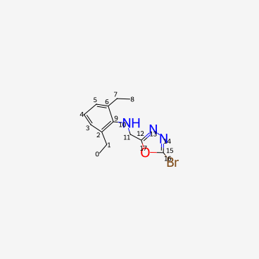 CCc1cccc(CC)c1NCc1nnc(Br)o1